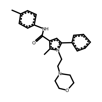 Cc1ccc(NC(=O)c2cc(-c3ccccc3)n(CCN3CCOCC3)c2C)cc1